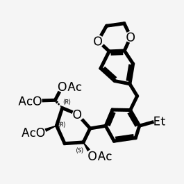 CCc1ccc(C2O[C@@H](C(OC(C)=O)OC(C)=O)[C@H](OC(C)=O)C[C@@H]2OC(C)=O)cc1Cc1ccc2c(c1)OCCO2